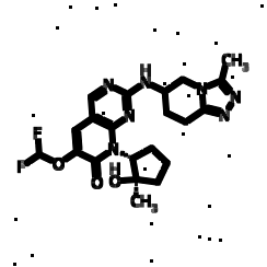 Cc1nnc2n1CC(Nc1ncc3cc(OC(F)F)c(=O)n([C@@H]4CCC[C@@]4(C)O)c3n1)CC2